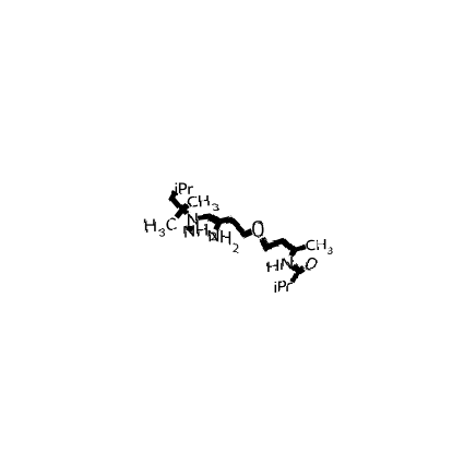 CC(C)CC(C)(C)N(N)/C=C(\N)CCOCCC(C)NC(=O)C(C)C